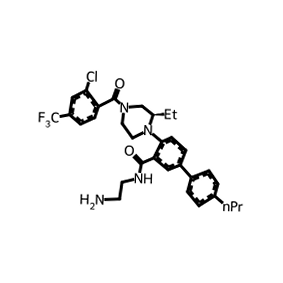 CCCc1ccc(-c2ccc(N3CCN(C(=O)c4ccc(C(F)(F)F)cc4Cl)C[C@H]3CC)c(C(=O)NCCN)c2)cc1